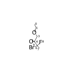 CCOCC(=O)C(C)(F)Br